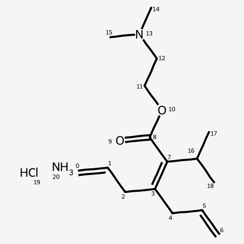 C=CCC(CC=C)=C(C(=O)OCCN(C)C)C(C)C.Cl.N